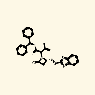 C=C(C)C(C(=O)OC(c1ccccc1)c1ccccc1)N1C(=O)C[C@H]1SSc1nc2ccccc2s1